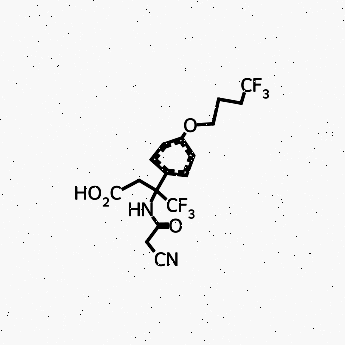 N#CCC(=O)NC(CC(=O)O)(c1ccc(OCCCC(F)(F)F)cc1)C(F)(F)F